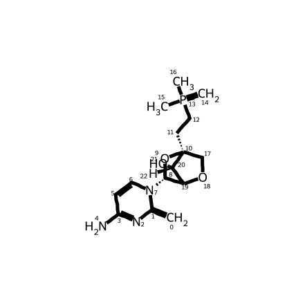 C=C1N=C(N)C=CN1[C@@H]1O[C@@]2(CCP(=C)(C)C)COC1[C@@H]2O